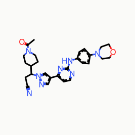 CC(=O)N1CCC(C(CC#N)n2cc(-c3ccnc(Nc4ccc(N5CCOCC5)cc4)n3)cn2)CC1